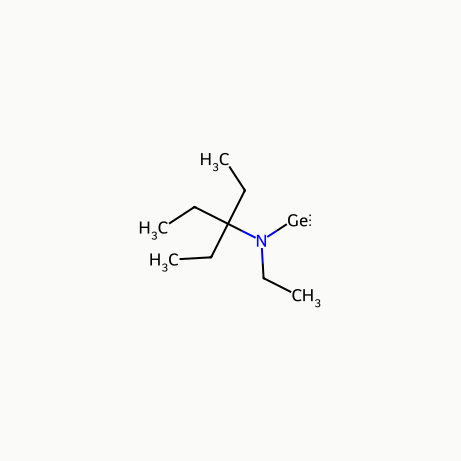 CC[N]([Ge])C(CC)(CC)CC